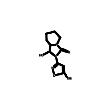 CC(C)(C)c1cc(N2C(=O)N3CCCCC3C2O)no1